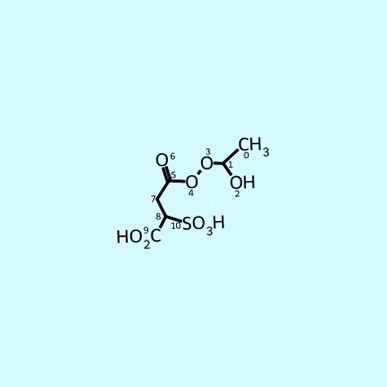 CC(O)OOC(=O)CC(C(=O)O)S(=O)(=O)O